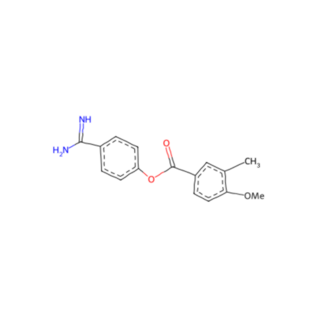 COc1ccc(C(=O)Oc2ccc(C(=N)N)cc2)cc1C